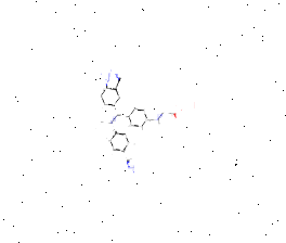 CC/C(=C(/c1ccc(/C=C/C(=O)O)cc1)c1ccc2[nH]ncc2c1)c1ccc(C#N)cc1